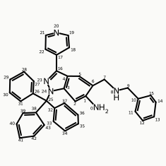 Nc1cc2c(cc1CNCc1ccccc1)c(-c1ccncc1)nn2C(c1ccccc1)(c1ccccc1)c1ccccc1